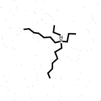 CCCCCCC[PH](CCC)(CCC)CCCCCCC